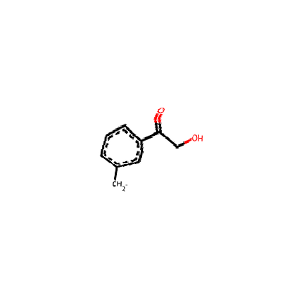 [CH2]c1cccc(C(=O)CO)c1